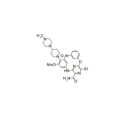 CCc1nc(C(N)=O)c(Nc2ccc(N3CCC(N4CCN(C)CC4)CC3)c(OC)c2)nc1Oc1cccc([N+](=O)[O-])c1